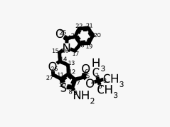 CC(C)(C)OC(=O)c1c(N)sc2c1CC(CN1Cc3ccccc3C1=O)OC2